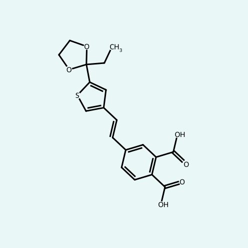 CCC1(c2cc(/C=C/c3ccc(C(=O)O)c(C(=O)O)c3)cs2)OCCO1